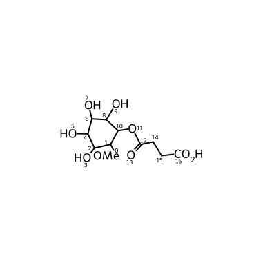 COC1C(O)C(O)C(O)C(O)C1OC(=O)CCC(=O)O